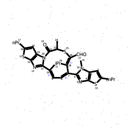 CCCc1cc2c(nc(C3=C/C=C(\C)c4nc5sc(CCC)cc5n4C(=O)C(C)S\C(C=O)=C\3C(C)C)n2C)s1